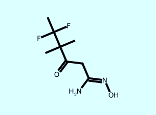 CC(F)(F)C(C)(C)C(=O)C/C(N)=N/O